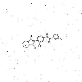 O=C(Nc1ccc(N2C(=O)C3CCCCN3C2=S)c(Cl)c1)c1ccsc1